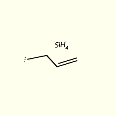 [C]CC=C.[SiH4]